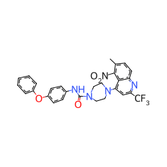 Cc1ccc2nc(C(F)(F)F)cc(N3CCN(C(=O)Nc4ccc(Oc5ccccc5)cc4)CC3)c2c1[N+](=O)[O-]